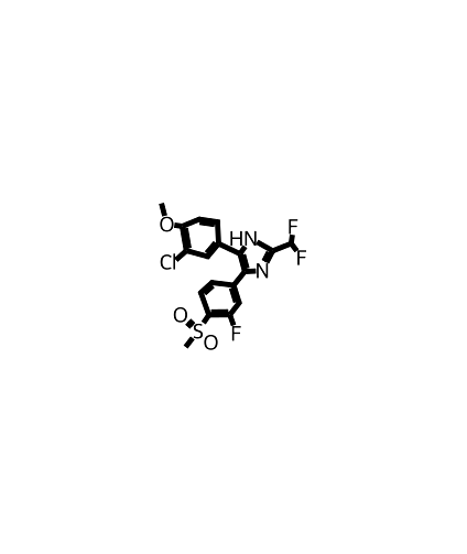 COc1ccc(-c2[nH]c(C(F)F)nc2-c2ccc(S(C)(=O)=O)c(F)c2)cc1Cl